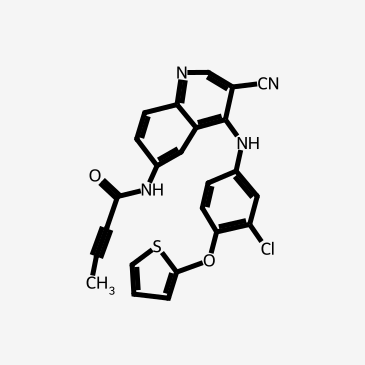 CC#CC(=O)Nc1ccc2ncc(C#N)c(Nc3ccc(Oc4cccs4)c(Cl)c3)c2c1